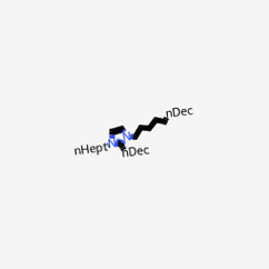 CCCCCCCCCCCCCCCn1cc[n+](CCCCCCC)c1CCCCCCCCCC